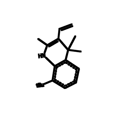 C=CC1=C(C)Nc2c(C(C)(C)C)cccc2C1(C)C